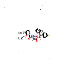 COc1cc(F)ccc1C(c1ccc(F)cc1OC)[C@H](C)OC(=O)[C@H](C)NC(=O)c1nccc(OC)c1OCOC(C)=O